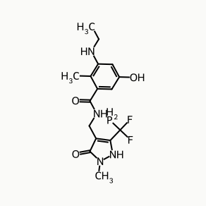 CCNc1cc(O)cc(C(=O)NCc2c(C(F)(F)P)[nH]n(C)c2=O)c1C